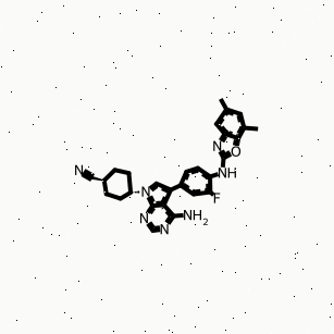 Cc1cc(C)c2oc(Nc3ccc(-c4cn([C@H]5CC[C@H](C#N)CC5)c5ncnc(N)c45)cc3F)nc2c1